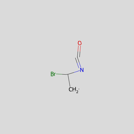 [CH2]C(Br)N=C=O